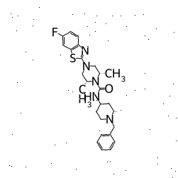 C[C@@H]1CN(c2nc3ccc(F)cc3s2)C[C@H](C)N1C(=O)NC1CCN(Cc2ccccc2)CC1